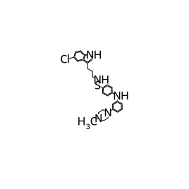 CN1CCN(c2cccc(Nc3ccc(SNCCCc4c[nH]c5ccc(Cl)cc45)cc3)c2)CC1